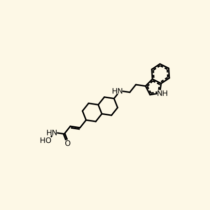 O=C(C=CC1CCC2CC(NCCc3c[nH]c4ccccc34)CCC2C1)NO